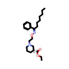 CCCCCCCC(=NOCCN1CCC[C@@H](C(=O)OCC)C1)c1ccccc1